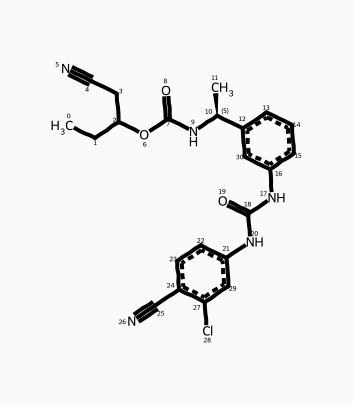 CCC(CC#N)OC(=O)N[C@@H](C)c1cccc(NC(=O)Nc2ccc(C#N)c(Cl)c2)c1